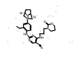 CCc1cc(N2C[C@H]3CC[C@@H](C2)N3C)ccc1Nc1ncc(C#N)c(NCCCN2CCCOC2=O)n1